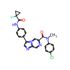 CN(C(=O)c1cn2c(-c3ccc(NC(=O)C4(F)CC4)cc3)cnc2cn1)c1ccc(Cl)cc1